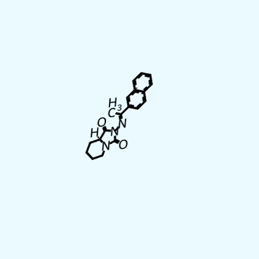 C/C(=N\N1C(=O)[C@@H]2CCCCN2C1=O)c1ccc2ccccc2c1